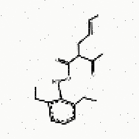 CC=CCC(C(C)=O)C(=O)ONc1c(CC)cccc1CC